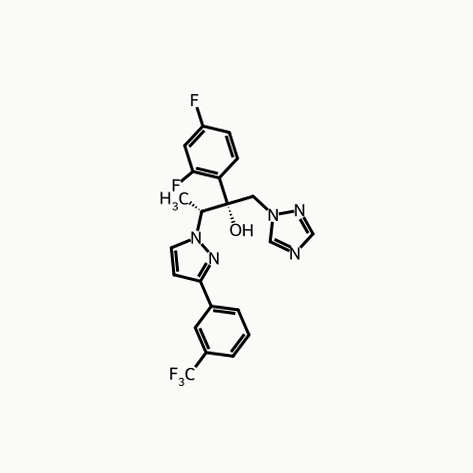 C[C@@H](n1ccc(-c2cccc(C(F)(F)F)c2)n1)[C@](O)(Cn1cncn1)c1ccc(F)cc1F